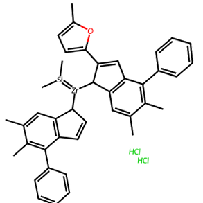 Cc1ccc(C2=Cc3c(cc(C)c(C)c3-c3ccccc3)[CH]2[Zr]([CH]2C=Cc3c2cc(C)c(C)c3-c2ccccc2)=[Si](C)C)o1.Cl.Cl